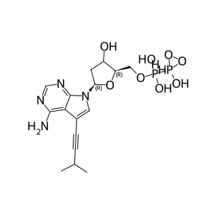 CC(C)C#Cc1cn([C@H]2CC(O)[C@@H](CO[PH](O)(O)[PH]3(O)OO3)O2)c2ncnc(N)c12